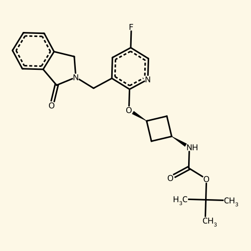 CC(C)(C)OC(=O)N[C@H]1C[C@@H](Oc2ncc(F)cc2CN2Cc3ccccc3C2=O)C1